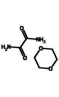 C1COCCO1.NC(=O)C(N)=O